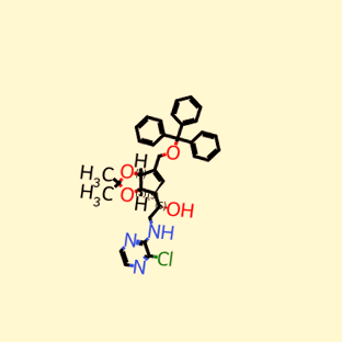 CC1(C)O[C@H]2[C@H]([C@H](O)CNc3nccnc3Cl)C=C(COC(c3ccccc3)(c3ccccc3)c3ccccc3)[C@H]2O1